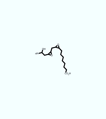 CCCC(O)CC1OC1CC1OC1CCCCCCCC(=O)O